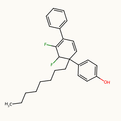 CCCCCCCCC1(c2ccc(O)cc2)C=CC(c2ccccc2)=C(F)C1F